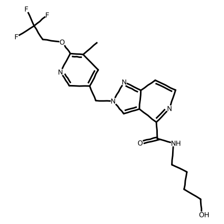 Cc1cc(Cn2cc3c(C(=O)NCCCCO)nccc3n2)cnc1OCC(F)(F)F